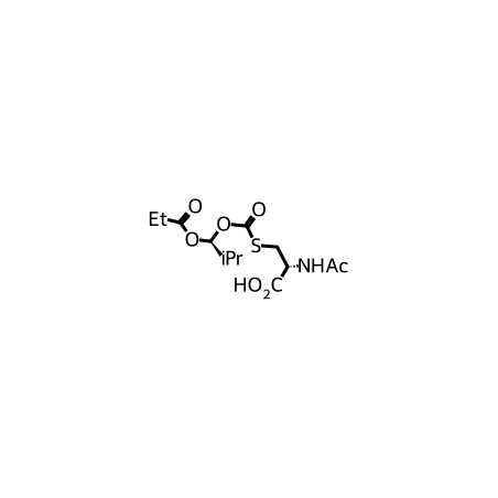 CCC(=O)O[C@@H](OC(=O)SC[C@H](NC(C)=O)C(=O)O)C(C)C